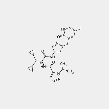 CC(C)n1nccc1C(=O)N[C@H](C(=O)Nc1cnn(Cc2cc(F)c[nH]c2=O)c1)C(C1CC1)C1CC1